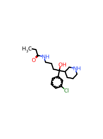 CCC(=O)NCCCC(O)(c1cccc(Cl)c1)C1CCCNC1